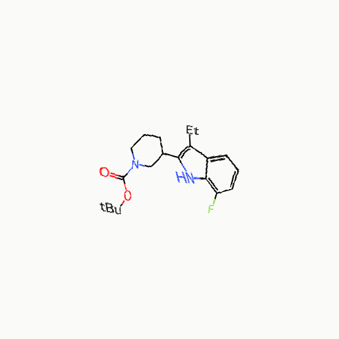 CCc1c(C2CCCN(C(=O)OC(C)(C)C)C2)[nH]c2c(F)cccc12